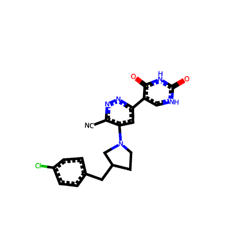 N#Cc1nnc(-c2c[nH]c(=O)[nH]c2=O)cc1N1CCC(Cc2ccc(Cl)cc2)C1